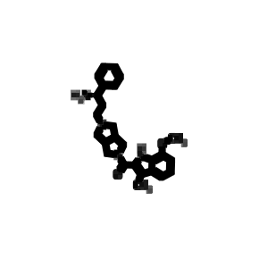 COc1cccc2c(C)c(C(=O)N3CC4CN(CC[C@H](N)c5ccccc5)CC4C3)[nH]c12